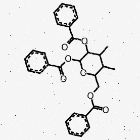 CC1C(COC(=O)c2ccccc2)OC(OC(=O)c2ccccc2)C(OC(=O)c2ccccc2)C1C